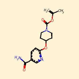 C=C(C)OC(=O)N1CCC(Oc2ccc(C(N)=O)cn2)CC1